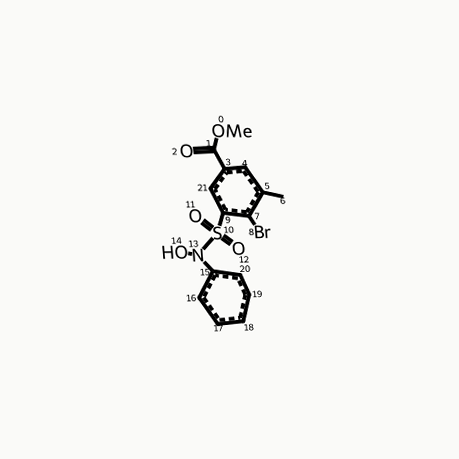 COC(=O)c1cc(C)c(Br)c(S(=O)(=O)N(O)c2ccccc2)c1